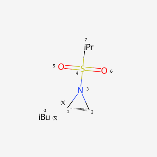 CC[C@H](C)[C@H]1CN1S(=O)(=O)C(C)C